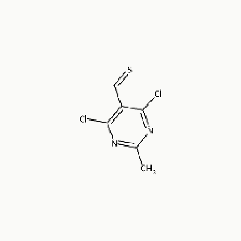 Cc1nc(Cl)c(C=S)c(Cl)n1